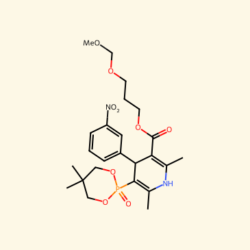 COCOCCCOC(=O)C1=C(C)NC(C)=C(P2(=O)OCC(C)(C)CO2)C1c1cccc([N+](=O)[O-])c1